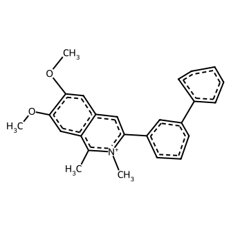 COc1cc2cc(-c3cccc(-c4ccccc4)c3)[n+](C)c(C)c2cc1OC